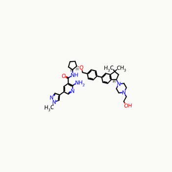 Cn1cc(-c2cnc(N)c(C(=O)N[C@H]3CCC[C@@H]3OCc3ccc(-c4ccc5c(c4)C(C)(C)C[C@H]5N4CCN(CCO)CC4)cc3)c2)cn1